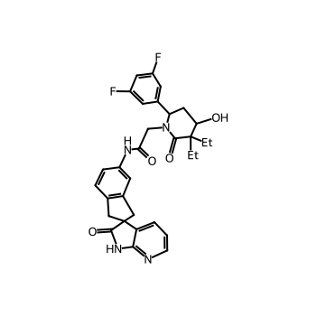 CCC1(CC)C(=O)N(CC(=O)Nc2ccc3c(c2)CC2(C3)C(=O)Nc3ncccc32)C(c2cc(F)cc(F)c2)CC1O